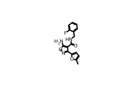 Cc1ccc(-c2noc(N)c2C(=O)NCc2ccccc2F)o1